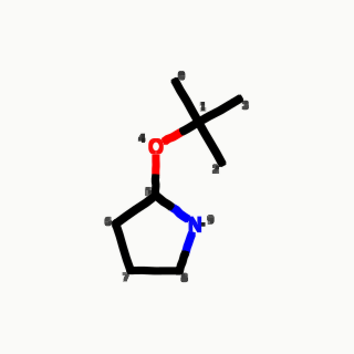 CC(C)(C)OC1CCC[N]1